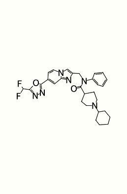 O=C(C1CCN(C2CCCCC2)CC1)N(Cc1cn2ccc(-c3nnc(C(F)F)o3)cc2n1)c1ccccc1